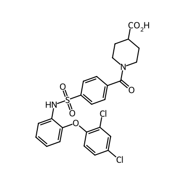 O=C(O)C1CCN(C(=O)c2ccc(S(=O)(=O)Nc3ccccc3Oc3ccc(Cl)cc3Cl)cc2)CC1